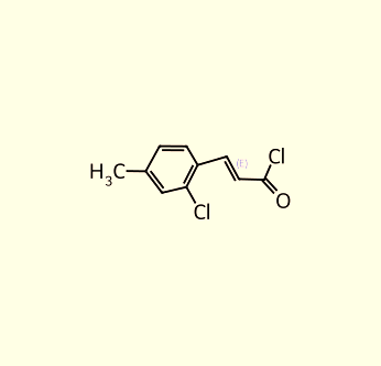 Cc1ccc(/C=C/C(=O)Cl)c(Cl)c1